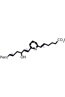 CCCCC/C=C/CC(O)/C=C/c1cccc(/C=C/CCCC(=O)O)n1